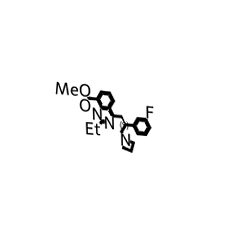 CCc1nc(C[C@H](CN2CCC2)c2cccc(F)c2)c2cccc(C(=O)OC)c2n1